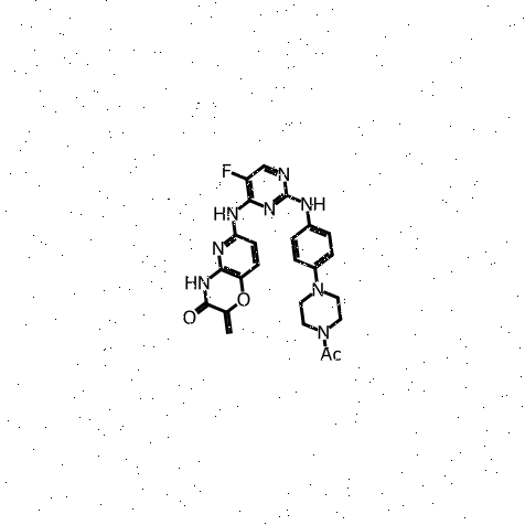 C=C1Oc2ccc(Nc3nc(Nc4ccc(N5CCN(C(C)=O)CC5)cc4)ncc3F)nc2NC1=O